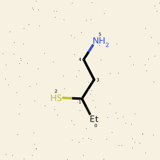 [CH2]CC(S)CCN